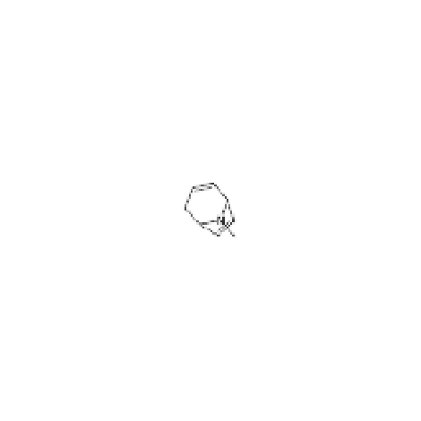 CN1C2C=CCC1C=C2